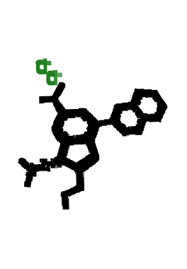 CCCC1=Cc2c(-c3ccc4ccccc4c3)cc(C(C)C)cc2[CH]1[Zr+2][Si](C)C.[Cl-].[Cl-]